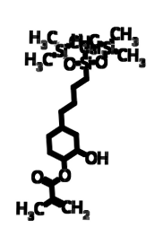 C=C(C)C(=O)OC1CCC(CCCC[Si](C)(O[Si](C)(C)C)O[Si](C)(C)C)CC1O